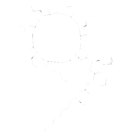 CCCCCCCC[C@H](O)CC(=O)N[C@@H](CC(C)C)C(=O)N[C@H](CCC(=O)O)C(=O)N[C@H]1C(=O)N[C@H](C(C)CC)C(=O)N[C@@H](CC(C)C)C(=O)N[C@H](CO)C(=O)N[C@@H](CC(C)C)C(=O)N[C@H](CO)C(=O)N[C@@H](C(C)CC)C(=O)OC1C